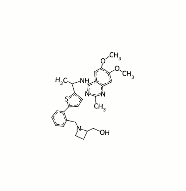 COc1cc2nc(C)nc(NC(C)c3ccc(-c4ccccc4CN4CCC4CO)s3)c2cc1OC